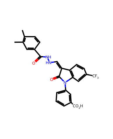 Cc1ccc(C(=O)NN/C=C2\C(=O)N(c3cccc(C(=O)O)c3)c3cc(C(F)(F)F)ccc32)cc1C